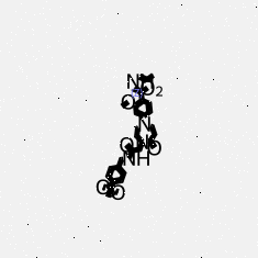 C=C(C)O/C(=C\N)c1ccc(N2CCC(=O)N(CC(=O)NCc3ccc(S(C)(=O)=O)cc3)CC2)cc1OC